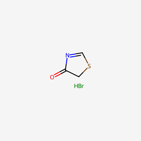 Br.O=C1CSC=N1